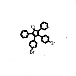 O=C1C(c2ccccc2)=C(c2ccc(Br)cc2)C(c2ccc(Br)cc2)=C1c1ccccc1